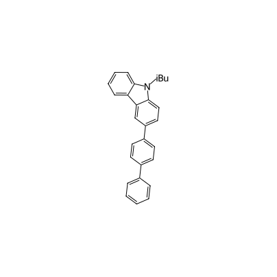 CCC(C)n1c2ccccc2c2cc(-c3ccc(-c4ccccc4)cc3)ccc21